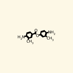 Cc1cc(OC(=O)c2ccc(N)c(C)c2)ccc1N